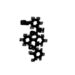 Cc1cccc(C(=O)N2CCC[C@H](C(=O)Nc3cccc(C(C)(C)C)c3)[C@@H]2c2ccccc2)c1C